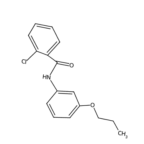 CCCOc1cccc(NC(=O)c2ccccc2Cl)c1